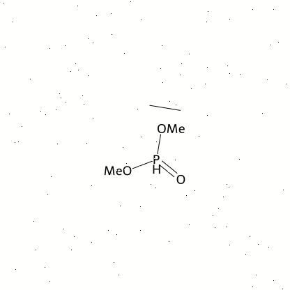 CC.CO[PH](=O)OC